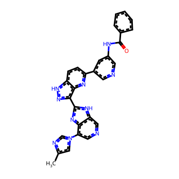 Cc1cn(-c2cncc3[nH]c(-c4n[nH]c5ccc(-c6cncc(NC(=O)c7ccccc7)c6)nc45)nc23)cn1